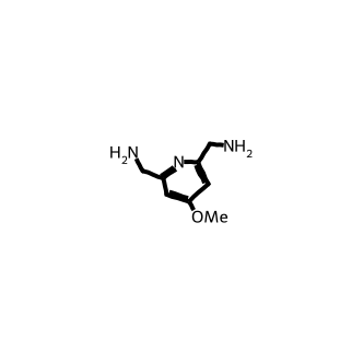 COc1cc(CN)nc(CN)c1